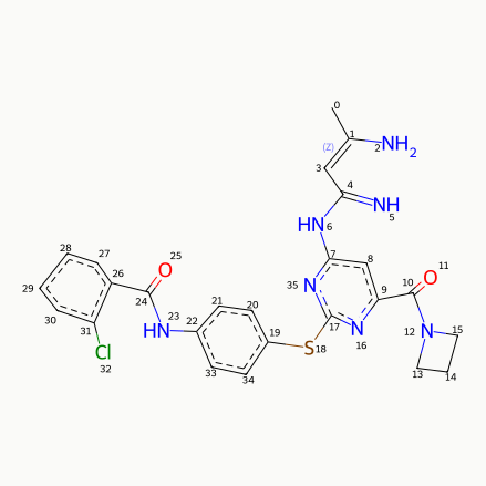 C/C(N)=C/C(=N)Nc1cc(C(=O)N2CCC2)nc(Sc2ccc(NC(=O)c3ccccc3Cl)cc2)n1